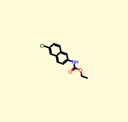 CCOC(=O)Nc1ccc2cc(Cl)ccc2c1